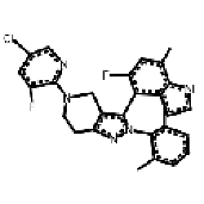 Cc1cccc(C)c1-n1nc2c(c1-c1c(F)cc(C)c3[nH]ccc13)CN(c1ncc(Cl)cc1F)CC2